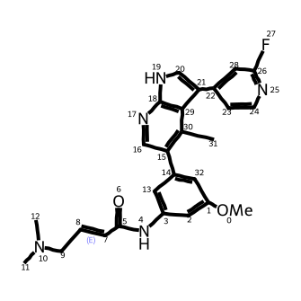 COc1cc(NC(=O)/C=C/CN(C)C)cc(-c2cnc3[nH]cc(-c4ccnc(F)c4)c3c2C)c1